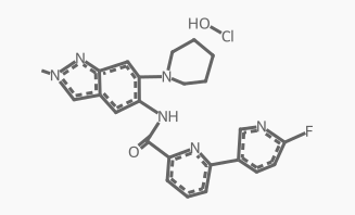 Cn1cc2cc(NC(=O)c3cccc(-c4ccc(F)nc4)n3)c(N3CCCCC3)cc2n1.OCl